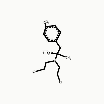 C[C@](Cc1ccc([N+](=O)[O-])cc1)(C(=O)O)N(CCCl)CCCl